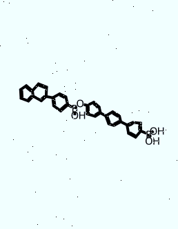 OB(O)c1ccc(-c2ccc(-c3ccc(OB(O)c4ccc(-c5ccc6ccccc6c5)cc4)cc3)cc2)cc1